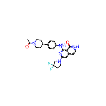 CC(=O)N1CCC(c2ccc(Nc3nc(N4CCC(F)(F)C4)cc4cc[nH]c(=O)c34)cc2)CC1